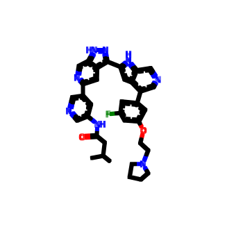 CC(C)CC(=O)Nc1cncc(-c2cc3c(-c4cc5c(-c6cc(F)cc(OCCN7CCCC7)c6)cncc5[nH]4)n[nH]c3cn2)c1